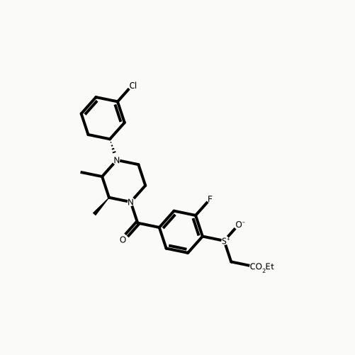 CCOC(=O)C[S+]([O-])c1ccc(C(=O)N2CCN([C@H]3C=C(Cl)C=CC3)C(C)[C@@H]2C)cc1F